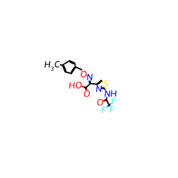 Cc1ccc(CON=C(C(=O)O)c2csc(NC(=O)C(F)(F)F)n2)cc1